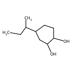 CCC(C)C1CCC(O)C(O)C1